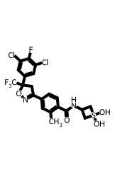 Cc1cc(C2=NOC(c3cc(Cl)c(F)c(Cl)c3)(C(F)(F)F)C2)ccc1C(=O)NC1CS(O)(O)C1